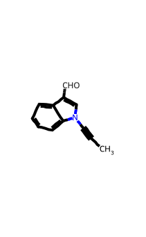 CC#Cn1cc(C=O)c2ccccc21